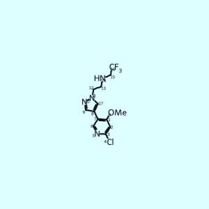 COc1cc(Cl)ncc1-c1cnn(CCNCC(F)(F)F)c1